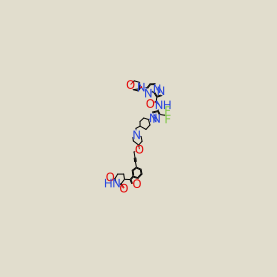 O=C1CCC(c2coc3ccc(C#CCOC4CCN(CC5CCC(n6cc(NC(=O)c7cnn8ccc(N9CC%10CC9CO%10)nc78)c(C(F)F)n6)CC5)CC4)cc23)C(=O)N1